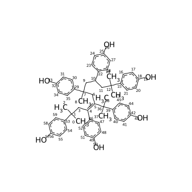 CC(C)(CC(=C(CC(C)(CC(CC(C)(C)c1ccc(O)cc1)c1ccc(O)cc1)c1ccc(O)cc1)C(C)(C)c1ccc(O)cc1)c1ccc(O)cc1)c1ccc(O)cc1